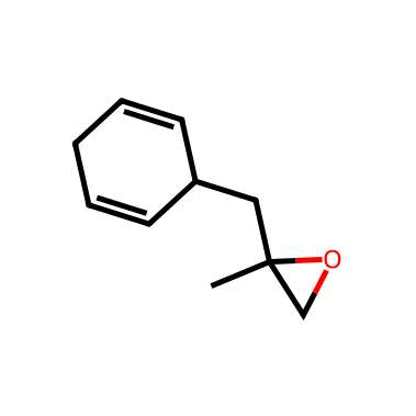 CC1(CC2C=CCC=C2)CO1